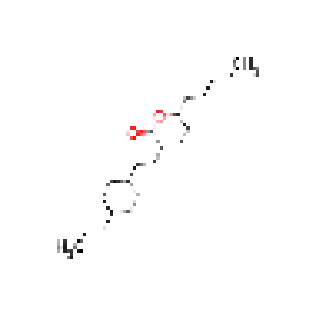 CCCCCC1CCC(CCC2CCC(CCC)CC2)C(=O)O1